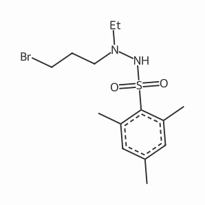 CCN(CCCBr)NS(=O)(=O)c1c(C)cc(C)cc1C